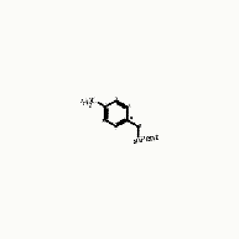 [CH2]c1ccc(CCCCCC)cc1